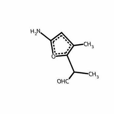 Cc1cc(N)oc1C(C)C=O